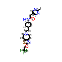 Cc1ncc(CC(=O)N[C@H]2CC[C@H](CCN3CCc4nc(OCC(F)(F)F)sc4CC3)CC2)cn1